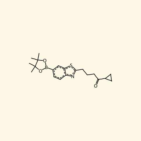 CC1(C)OB(c2ccc3nc(CCCC(=O)C4CC4)sc3c2)OC1(C)C